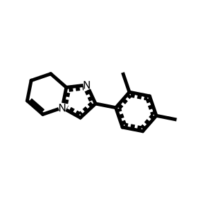 Cc1ccc(-c2cn3c(n2)CCC=C3)c(C)c1